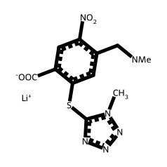 CNCc1cc(Sc2nnnn2C)c(C(=O)[O-])cc1[N+](=O)[O-].[Li+]